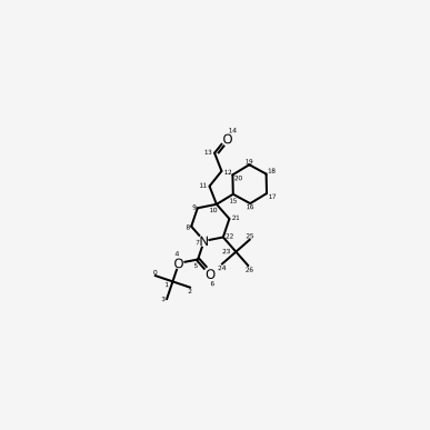 CC(C)(C)OC(=O)N1CCC(CCC=O)(C2CCCCC2)CC1C(C)(C)C